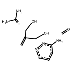 C=C(CO)CO.C=O.NC(N)=O.Nc1ccnnn1